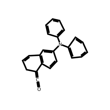 O=C=C1CC=Cc2cc(N(c3ccccc3)c3ccccc3)ccc21